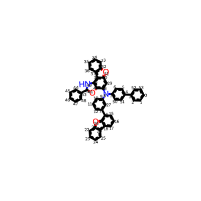 c1ccc(-c2ccc(N(c3cccc(-c4cccc5c4oc4ccccc45)c3)c3cc4oc5ccccc5c4c4c3OC(c3ccccc3)N4)cc2)cc1